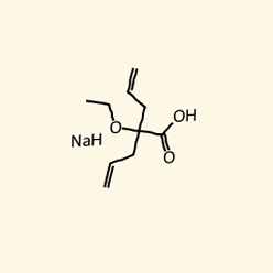 C=CCC(CC=C)(OCC)C(=O)O.[NaH]